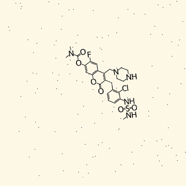 CNS(=O)(=O)Nc1cccc(Cc2c(CN3CCNCC3)c3cc(F)c(OC(=O)N(C)C)cc3oc2=O)c1Cl